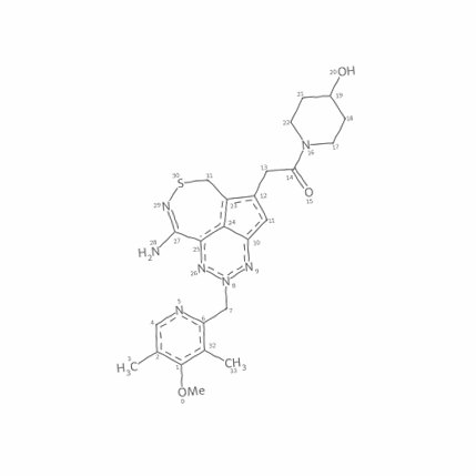 COc1c(C)cnc(Cn2nc3cc(CC(=O)N4CCC(O)CC4)c4c-3c(n2)C(N)=NSC4)c1C